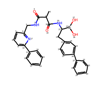 CC(C(=O)NCc1cccc(-c2ccccc2)n1)C(=O)NC(Cc1ccc(-c2ccccc2)cc1)B(O)O